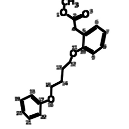 COC(=O)Cc1ccccc1OCCCCOc1ccccc1